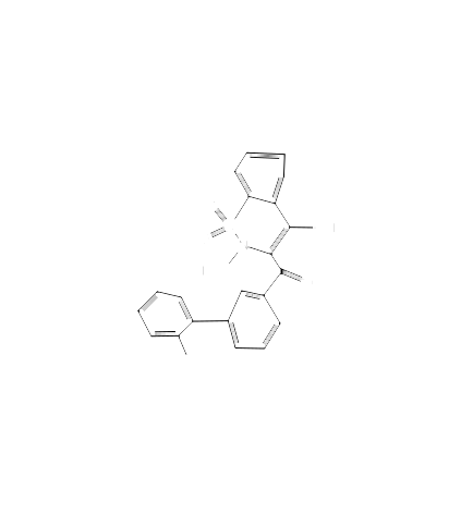 Cc1ccccc1-c1cccc(C(=O)C2=C(O)c3ccccc3S(=O)(=O)N2C)c1